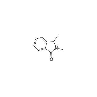 CC1c2ccccc2C(=O)N1C